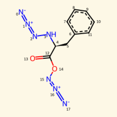 [N-]=[N+]=NN[C@@H](Cc1ccccc1)C(=O)ON=[N+]=[N-]